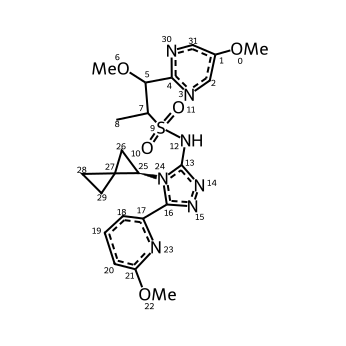 COc1cnc(C(OC)C(C)S(=O)(=O)Nc2nnc(-c3cccc(OC)n3)n2[C@@H]2CC23CC3)nc1